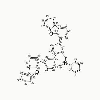 c1ccc(N2Cc3cc(-c4cccc5c4oc4ccccc45)ccc3-c3cc(-c4cccc5c4oc4ccccc45)ccc3C2)cc1